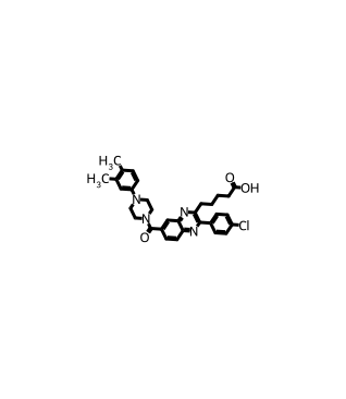 Cc1ccc(N2CCN(C(=O)c3ccc4nc(-c5ccc(Cl)cc5)c(CCCCC(=O)O)nc4c3)CC2)cc1C